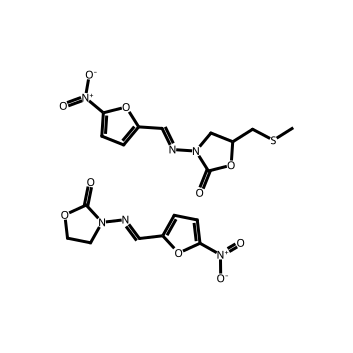 CSCC1CN(/N=C/c2ccc([N+](=O)[O-])o2)C(=O)O1.O=C1OCCN1/N=C/c1ccc([N+](=O)[O-])o1